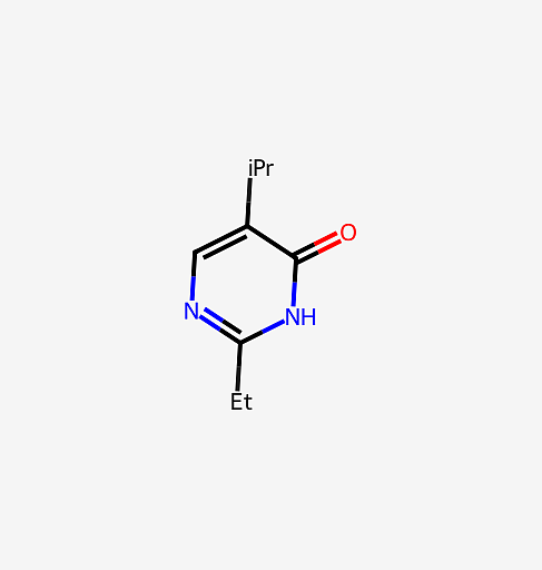 CCc1ncc(C(C)C)c(=O)[nH]1